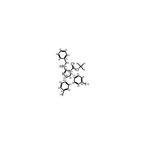 CC(C)(C)OC(=O)N1C(NCc2ccccc2)=N[C@@H](c2ccc(F)cc2)[C@H]1c1ccc(F)cc1